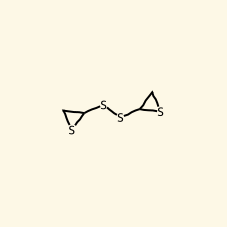 C1SC1SSC1CS1